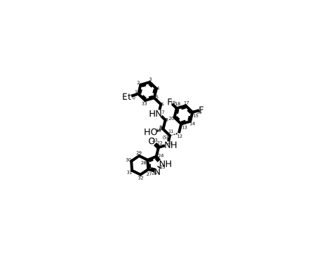 CCc1cccc(CNC[C@@H](O)[C@H](Cc2cc(F)cc(F)c2)NC(=O)c2[nH]nc3c2CCCC3)c1